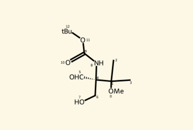 COC(C)(C)[C@@](C=O)(CO)NC(=O)OC(C)(C)C